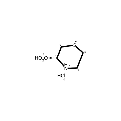 Cl.O=C(O)[C@@H]1CSCCN1